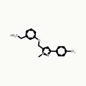 Cn1nc(-c2ccc(C(F)(F)F)cc2)cc1COc1cccc(CC(=O)O)c1